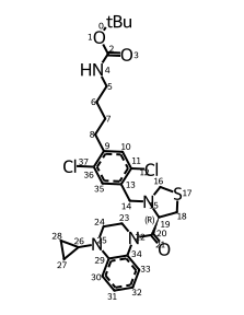 CC(C)(C)OC(=O)NCCCCc1cc(Cl)c(CN2CSC[C@H]2C(=O)N2CCN(C3CC3)c3ccccc32)cc1Cl